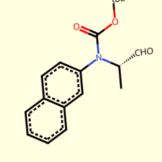 C[C@@H](C=O)N(C(=O)OC(C)(C)C)c1ccc2ccccc2c1